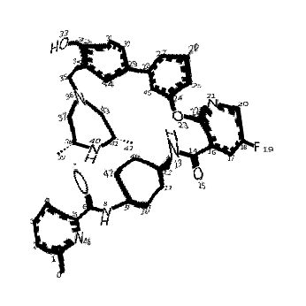 Cc1cccc(C(=O)NC2CCC(NC(=O)c3cc(F)cnc3Oc3cccc(-c4ccc(O)c(CN5C[C@@H](C)N[C@@H](C)C5)c4)c3)CC2)n1